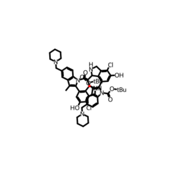 Cc1c(-c2cc(O)c(Cl)c3c2C(C(=O)C2NCc4c(Cl)c(O)cc(-c5c(C)c6cc(CN7CCCCC7)ccc6n5C(=O)OC(C)(C)C)c42)NC3)n(C(=O)OC(C)(C)C)c2ccc(CN3CCCCC3)cc12